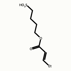 CC/C=C/C(=O)OCCCCS(=O)(=O)O